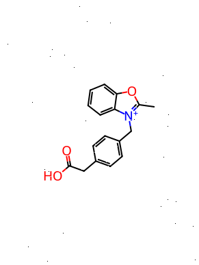 Cc1oc2ccccc2[n+]1Cc1ccc(CC(=O)O)cc1